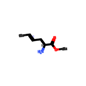 CC(C)(C)/C=C/C[C@H](N)C(=O)OC(C)(C)C